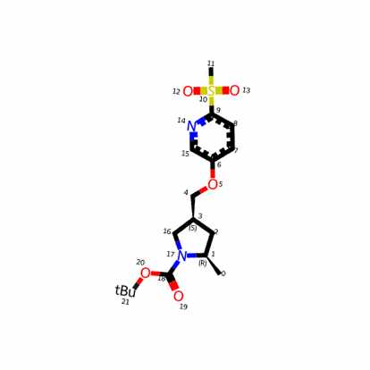 C[C@@H]1C[C@H](COc2ccc(S(C)(=O)=O)nc2)CN1C(=O)OC(C)(C)C